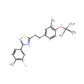 Cc1ccc(-c2nsc(CCc3ccc(OC(C)(C)C(=O)O)c(C)c3)n2)cc1F